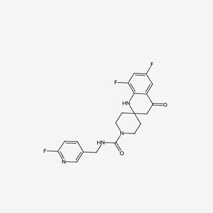 O=C1CC2(CCN(C(=O)NCc3ccc(F)nc3)CC2)Nc2c(F)cc(F)cc21